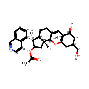 CC(=O)OC1C[C@H]2[C@@H]3OC4=C(C=C3CC[C@]2(C)[C@H]1c1cccc2cnccc12)C(=O)CC(CO)C4